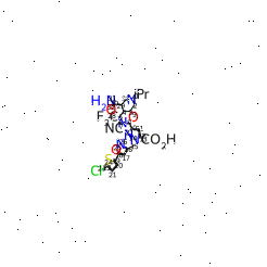 CC(C)N1CCC(C(N(C#N)C(=O)c2cc(C(=O)O)n(Cc3cc(-c4ccc(Cl)s4)on3)n2)C(F)(F)F)C(C(N)=O)C1